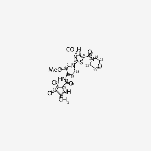 CO[C@H]1CN(c2nc(C(=O)O)c(C(=O)N3CCOCC3)s2)CC[C@H]1NC(=O)c1[nH]c(C)c(Cl)c1Cl